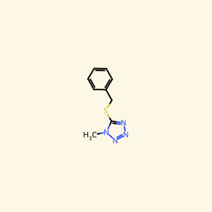 Cn1nnnc1SCc1ccccc1